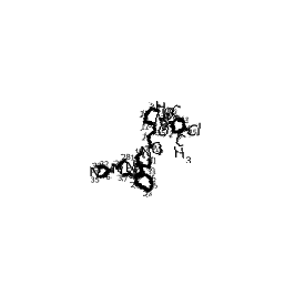 Cc1cc(S(=O)(=O)N2CCCCC2CCC(=O)N2CCC(c3ccccc3)(N3CCN(c4ccncc4)CC3)CC2)c(C)cc1Cl